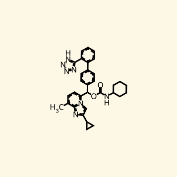 Cc1ccc(C(OC(=O)NC2CCCCC2)c2ccc(-c3ccccc3-c3nnn[nH]3)cc2)n2cc(C3CC3)nc12